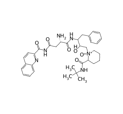 CC(C)(C)NC(=O)C1CCCC[N+]1([O-])CC(O)C(Cc1ccccc1)NC(=O)[C@@H](N)CC(=O)NC(=O)c1ccc2ccccc2n1